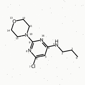 CCCNc1cc(Cl)nc(N2CCOCC2)n1